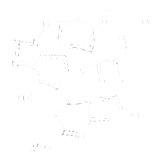 CCn1nnc2c(C)c(C(CC(=O)OC)c3ccc(C)c(CN4C[C@@H](C)Oc5ccccc5S4(=O)=O)c3)ccc21